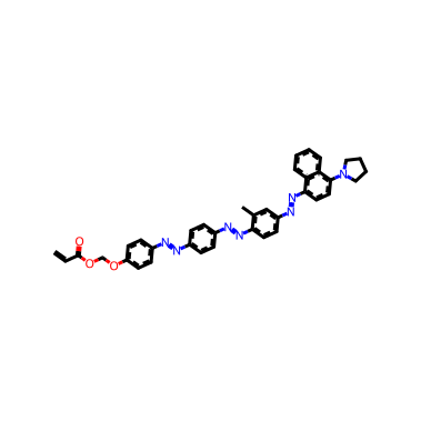 C=CC(=O)OCOc1ccc(N=Nc2ccc(N=Nc3ccc(N=Nc4ccc(N5CCCC5)c5ccccc45)cc3C)cc2)cc1